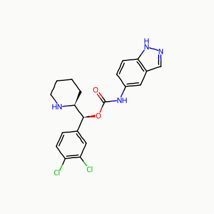 O=C(Nc1ccc2[nH]ncc2c1)O[C@@H](c1ccc(Cl)c(Cl)c1)[C@@H]1CCCCN1